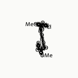 COC1=CCC2C(=C1)C(CC(=O)OCCOCCOCCOCCOC(=O)Cc1c(C)n(C(=O)c3ccc(Cl)cc3)c3ccc(OC)cc13)=C(C)N2C(=O)c1ccc(Cl)cc1